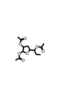 CCC(OC(C)=O)C1CC(OC(C)=O)C(OC(C)=O)O1